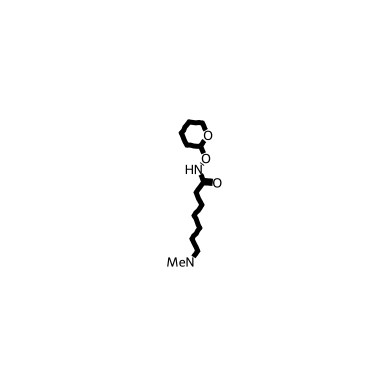 CNCCCCCCC(=O)NOC1CCCCO1